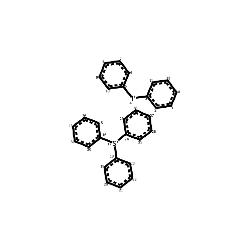 c1ccc([I+]c2ccccc2)cc1.c1ccc([S+](c2ccccc2)c2ccccc2)cc1